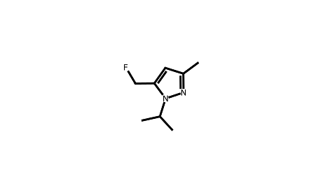 Cc1cc(CF)n(C(C)C)n1